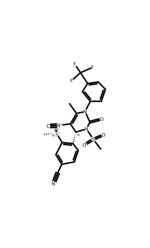 [C-]#[N+]C1=C(C)N(c2cccc(C(F)(F)F)c2)C(=O)N(S(C)(=O)=O)[C@@H]1c1ccc(C#N)cc1[S@+](C)[O-]